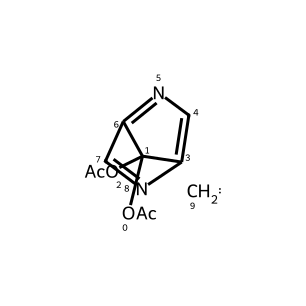 CC(=O)OC1(OC(C)=O)C2=CN=C1C=N2.[CH2]